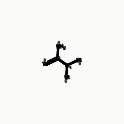 CCN(CC)C(N)=[Te]